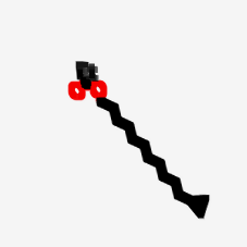 CCC(=O)OCCCCCCCCCCCC1CC1